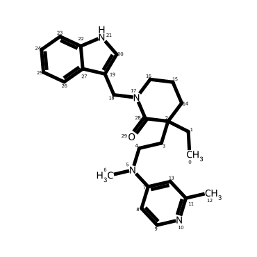 CCC1(CCN(C)c2ccnc(C)c2)CCCN(Cc2c[nH]c3ccccc23)C1=O